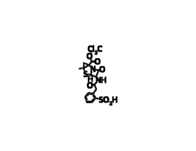 CC12CC1(C(=O)OCC(Cl)(Cl)Cl)N1C(=O)C(NC(=O)Cc3ccccc3S(=O)(=O)O)[C@@H]1S2